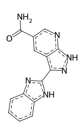 NC(=O)c1cnc2[nH]nc(-c3nc4ccccc4[nH]3)c2c1